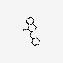 O=C1/C(=C/c2ccccc2)CSc2ccccc21